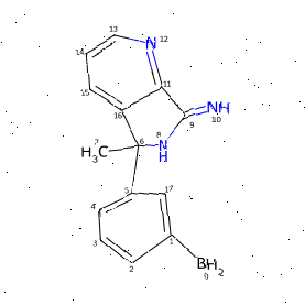 Bc1cccc(C2(C)NC(=N)c3ncccc32)c1